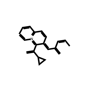 C=C/N=C(C(=C)C1CC1)/C(/C=C\C(=C)/C=C\C)=C/C(=C)/C=C\C